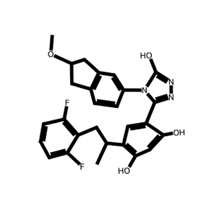 COC1Cc2ccc(-n3c(O)nnc3-c3cc(C(C)Cc4c(F)c[c]cc4F)c(O)cc3O)cc2C1